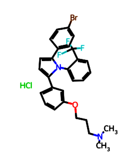 CN(C)CCCOc1cccc(-c2ccc(-c3ccc(Br)cc3)n2-c2ccccc2C(F)(F)F)c1.Cl